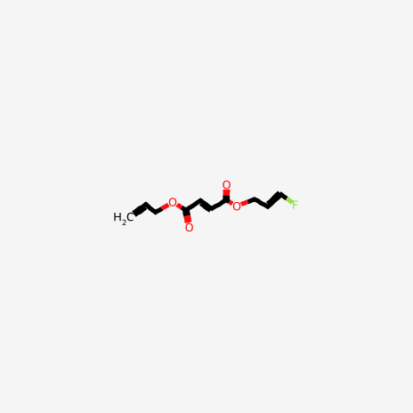 C=CCOC(=O)C=CC(=O)OCC=CF